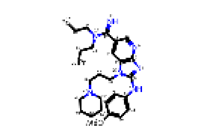 COc1ccc(Nc2nc3ncc(C(=N)N(CCC(C)C)CCC(C)C)cc3n2CCCN2CCCCC2)cc1